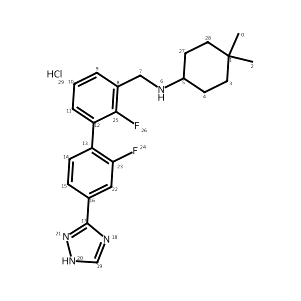 CC1(C)CCC(NCc2cccc(-c3ccc(-c4nc[nH]n4)cc3F)c2F)CC1.Cl